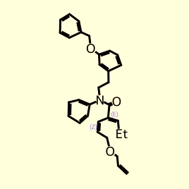 C=CCOC/C=C\C(=C/CC)C(=O)N(CCc1cccc(OCc2ccccc2)c1)c1ccccc1